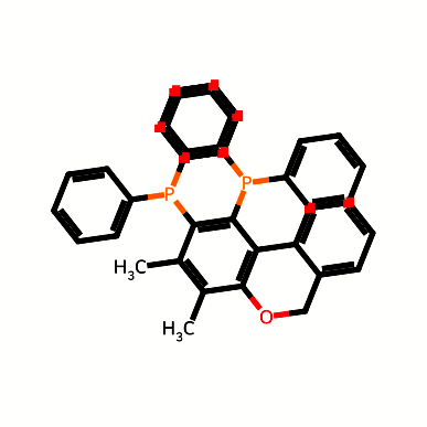 Cc1c(C)c(P(c2ccccc2)c2ccccc2)c(P(c2ccccc2)c2ccccc2)c2c1OCc1ccccc1-2